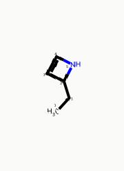 CCC1C=CN1